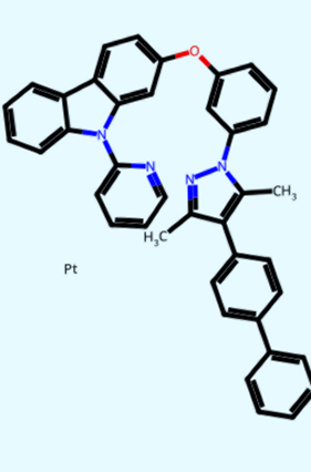 Cc1nn(-c2cccc(Oc3ccc4c5ccccc5n(-c5ccccn5)c4c3)c2)c(C)c1-c1ccc(-c2ccccc2)cc1.[Pt]